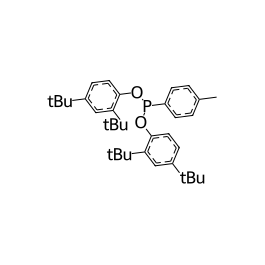 Cc1ccc(P(Oc2ccc(C(C)(C)C)cc2C(C)(C)C)Oc2ccc(C(C)(C)C)cc2C(C)(C)C)cc1